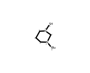 CC(C)(C)N1CCCN(S)C1